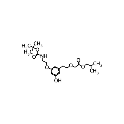 CC(C)COC(=O)COCCc1cc(O)cc(OCCNC(=O)OC(C)(C)C)c1